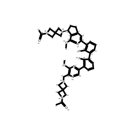 COc1nc(-c2cccc(-c3cccc(-c4cc5c(c(OC)n4)[C@@H](N4CC6(CN(C(C)=O)C6)C4)CC5)c3F)c2F)cnc1CN1CC2(C1)CN(C(C)=O)C2